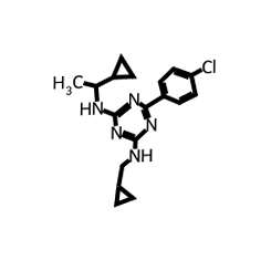 CC(Nc1nc(NCC2CC2)nc(-c2ccc(Cl)cc2)n1)C1CC1